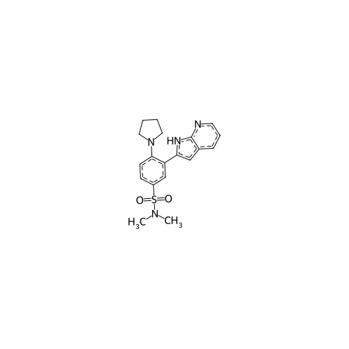 CN(C)S(=O)(=O)c1ccc(N2CCCC2)c(-c2cc3cccnc3[nH]2)c1